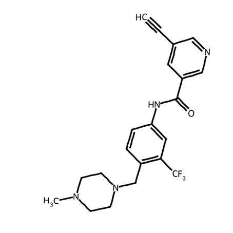 C#Cc1cncc(C(=O)Nc2ccc(CN3CCN(C)CC3)c(C(F)(F)F)c2)c1